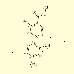 COC(=O)c1ccc(-c2ccc(C)cc2O)cc1F